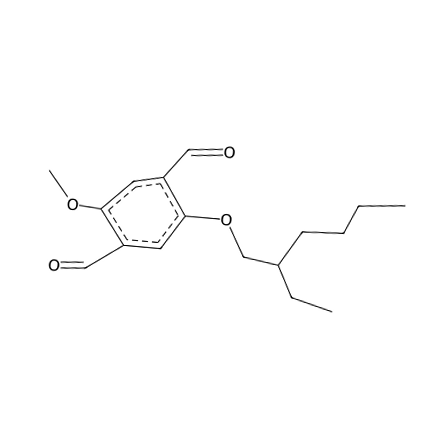 CCCCC(CC)COc1cc(C=O)c(OC)cc1C=O